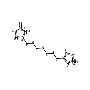 c1nc(CCCCCCCc2nc[nH]n2)n[nH]1